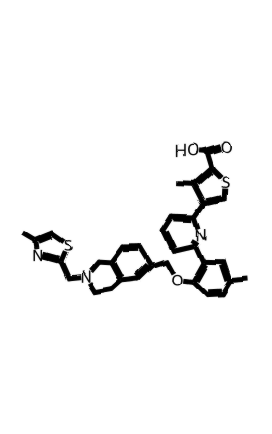 Cc1ccc(OCc2ccc3c(c2)CCN(Cc2nc(C)cs2)C3)c(-c2cccc(-c3csc(C(=O)O)c3C)n2)c1